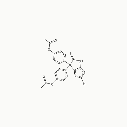 CC(=O)Oc1ccc(C2(c3ccc(OC(C)=O)cc3)C(=S)Nc3sc(Cl)cc32)cc1